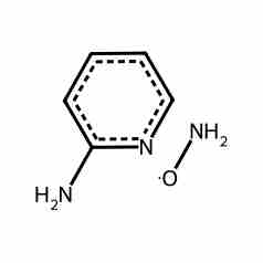 N[O].Nc1ccccn1